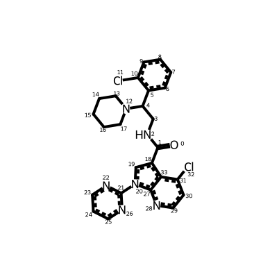 O=C(NCC(c1ccccc1Cl)N1CCCCC1)c1cn(-c2ncccn2)c2nccc(Cl)c12